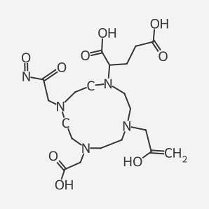 C=C(O)CN1CCN(CC(=O)O)CCN(CC(=O)N=O)CCN(C(CCC(=O)O)C(=O)O)CC1